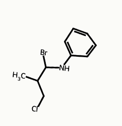 CC(CCl)C(Br)Nc1ccccc1